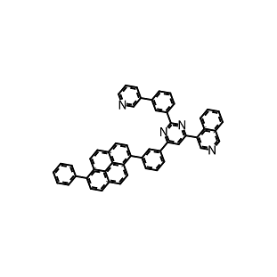 c1ccc(-c2ccc3ccc4c(-c5cccc(-c6cc(-c7cncc8ccccc78)nc(-c7cccc(-c8cccnc8)c7)n6)c5)ccc5ccc2c3c54)cc1